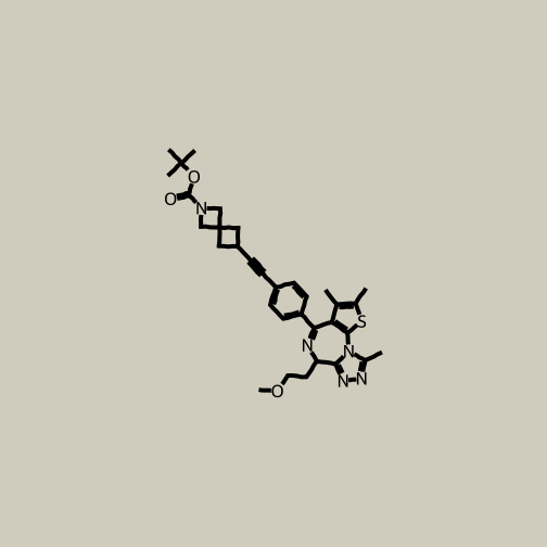 COCCC1N=C(c2ccc(C#CC3CC4(C3)CN(C(=O)OC(C)(C)C)C4)cc2)c2c(sc(C)c2C)-n2c(C)nnc21